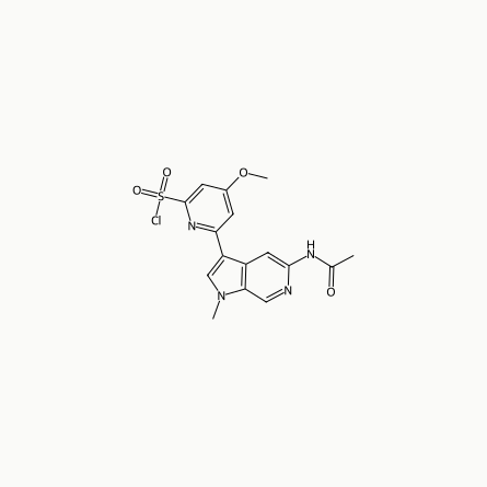 COc1cc(-c2cn(C)c3cnc(NC(C)=O)cc23)nc(S(=O)(=O)Cl)c1